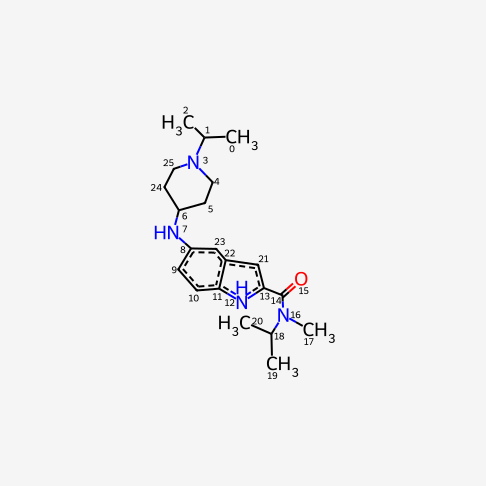 CC(C)N1CCC(Nc2ccc3[nH]c(C(=O)N(C)C(C)C)cc3c2)CC1